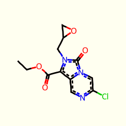 CCOC(=O)c1c2cnc(Cl)cn2c(=O)n1CC1CO1